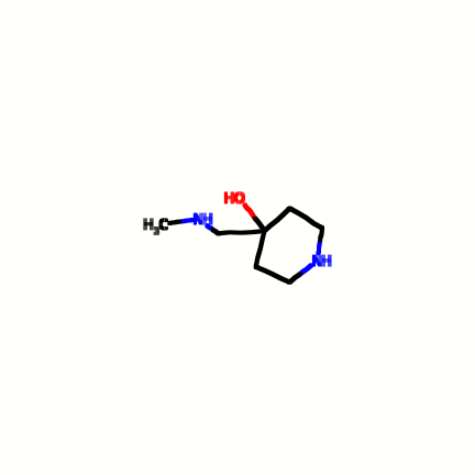 CNCC1(O)CCNCC1